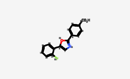 O=C(O)c1ccc(-c2ncc(-c3ccccc3F)o2)cc1